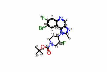 Cc1nc2cnc3cc(F)c(Br)cc3c2n1C1CCN(C(=O)OC(C)(C)C)CC1F